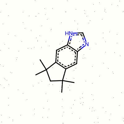 CC1(C)CC(C)(C)c2cc3[nH]cnc3cc21